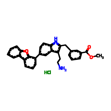 COC(=O)c1cccc(Cc2[nH]c3ccc(-c4cccc5c4oc4ccccc45)cc3c2CCN)c1.Cl